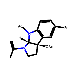 C=C(C)N1CC[C@@]2(OC(C)=O)c3cc(C(C)C)ccc3N(C(C)=O)[C@@H]12